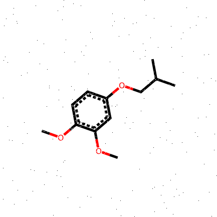 COc1ccc(OC[C](C)C)cc1OC